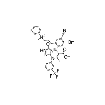 COC(=O)C1=C(C)N(c2cccc(C(F)(F)F)c2)c2n[nH]c(=O)n2[C@@H]1c1ccc(C#N)cc1CCC[N+](C)(C)c1cccnc1.[Br-]